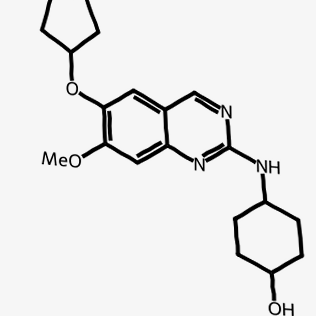 COc1cc2nc(NC3CCC(O)CC3)ncc2cc1OC1CCCC1